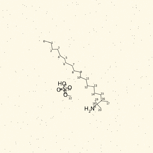 CCCCCCCCCCCCCCCCC(C)C(C)(C)N.COS(=O)(=O)O